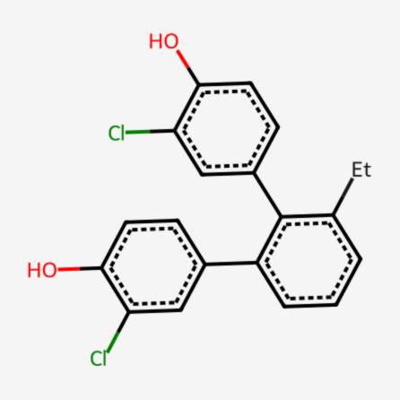 CCc1cccc(-c2ccc(O)c(Cl)c2)c1-c1ccc(O)c(Cl)c1